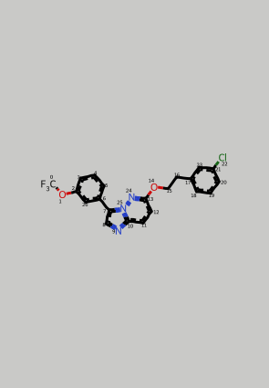 FC(F)(F)Oc1cccc(-c2cnc3ccc(OCCc4cccc(Cl)c4)nn23)c1